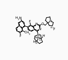 Cc1c(F)ccc2cc(N)cc(-c3ccc4c(N5CC[C@H]6CC[C@@H](C5)N6)nc(OC[C@@]56CCCN5C[C@H](F)C6)nc4c3F)c12